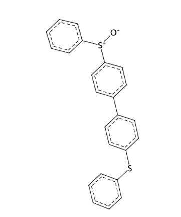 [O-][S+](c1ccccc1)c1ccc(-c2ccc(Sc3ccccc3)cc2)cc1